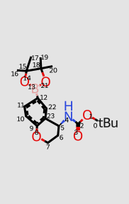 CC(C)(C)OC(=O)N[C@H]1CCOc2ccc(B3OC(C)(C)C(C)(C)O3)cc21